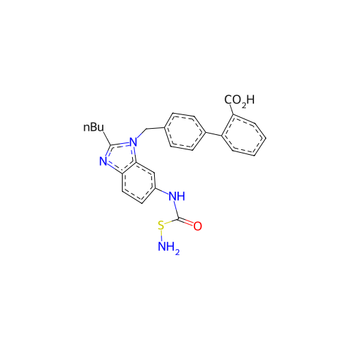 CCCCc1nc2ccc(NC(=O)SN)cc2n1Cc1ccc(-c2ccccc2C(=O)O)cc1